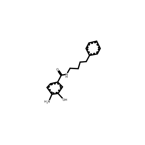 Nc1ccc(C(=O)NCCCCc2ccccc2)cc1O